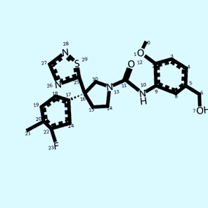 COc1ccc(CO)cc1NC(=O)N1CC[C@@](c2ccc(C)c(F)c2)(c2ncns2)C1